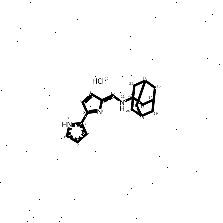 C1=CC(c2ccc[nH]2)=NC1=CNC12CC3CC(CC(C3)C1)C2.Cl